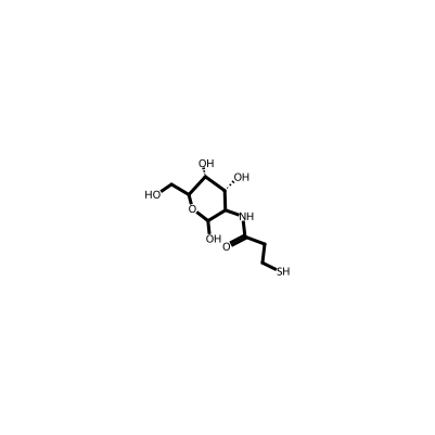 O=C(CCS)NC1C(O)OC(CO)[C@H](O)[C@@H]1O